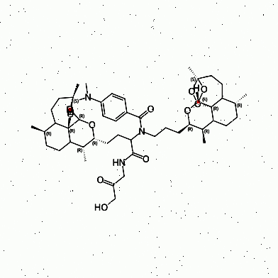 C[C@@H]1CCC2[C@@H](C)[C@@H](CCCN(C(=O)c3ccc(N(C)C)cc3)C(CC[C@H]3O[C@@H]4O[C@]5(C)CCC6[C@H](C)CCC([C@H]3C)[C@]64OO5)C(=O)NCC(=O)CO)O[C@@H]3O[C@]4(C)CCC1[C@@]23OO4